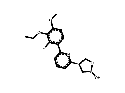 CCOc1c(OC)ccc(-c2cccc([C@H]3COB(O)C3)n2)c1F